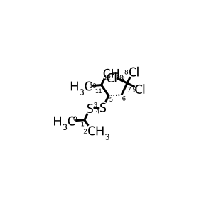 CC(C)SS[C@@H](CC(Cl)(Cl)Cl)C(C)C